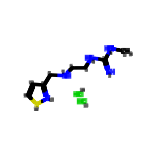 CNC(=N)NCCNCc1ccsn1.Cl.Cl